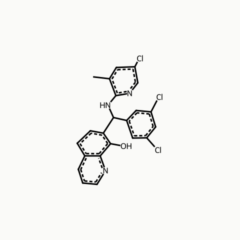 Cc1cc(Cl)cnc1NC(c1cc(Cl)cc(Cl)c1)c1ccc2cccnc2c1O